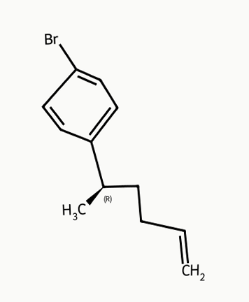 C=CCC[C@@H](C)c1ccc(Br)cc1